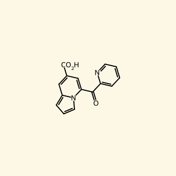 O=C(O)c1cc(C(=O)c2ccccn2)n2cccc2c1